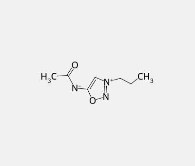 CCC[n+]1cc([N-]C(C)=O)on1